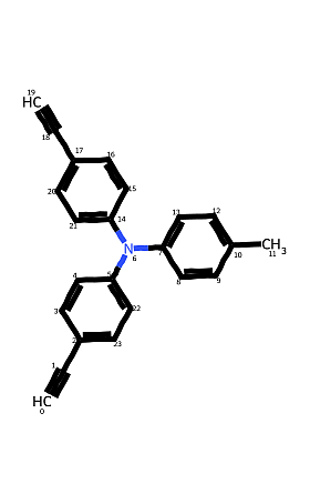 C#Cc1ccc(N(c2ccc(C)cc2)c2ccc(C#C)cc2)cc1